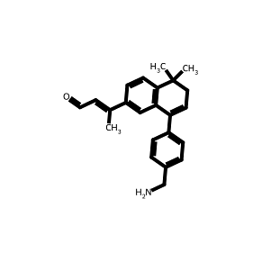 C/C(=C\C=O)c1ccc2c(c1)C(c1ccc(CN)cc1)=CCC2(C)C